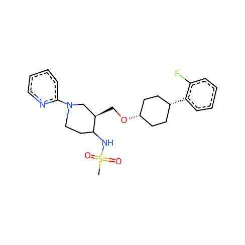 CS(=O)(=O)NC1CCN(c2ccccn2)C[C@H]1CO[C@H]1CC[C@@H](c2ccccc2F)CC1